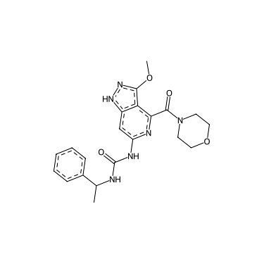 COc1n[nH]c2cc(NC(=O)NC(C)c3ccccc3)nc(C(=O)N3CCOCC3)c12